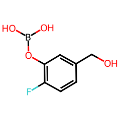 OCc1ccc(F)c(OB(O)O)c1